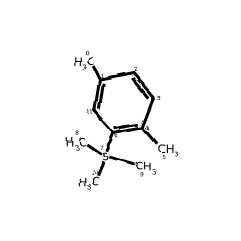 Cc1ccc(C)c(S(C)(C)C)c1